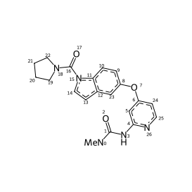 CNC(=O)Nc1cc(Oc2ccc3c(ccn3C(=O)N3CCCC3)c2)ccn1